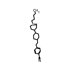 CCCCC[SiH]1CCC(C2CCC(CCc3ccc(C#N)cc3)CC2)CC1